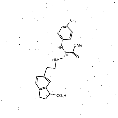 COC(=O)[C@H](CNCCc1ccc2c(c1)C(C(=O)O)CC2)Nc1ccc(C(F)(F)F)cn1